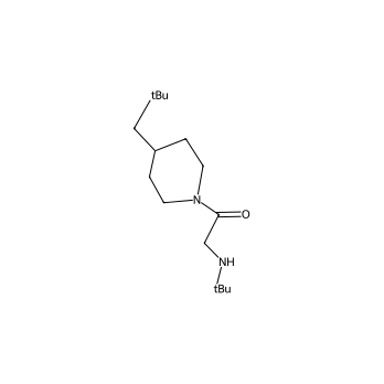 CC(C)(C)CC1CCN(C(=O)CNC(C)(C)C)CC1